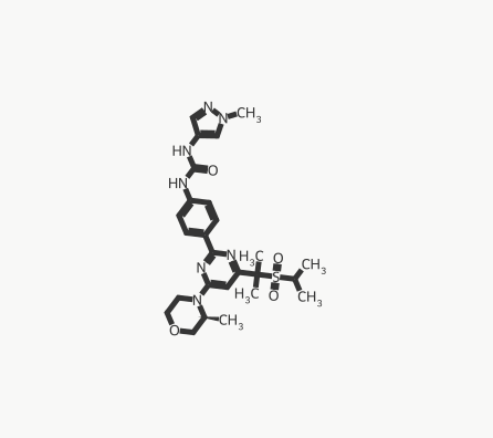 CC(C)S(=O)(=O)C(C)(C)c1cc(N2CCOC[C@@H]2C)nc(-c2ccc(NC(=O)Nc3cnn(C)c3)cc2)n1